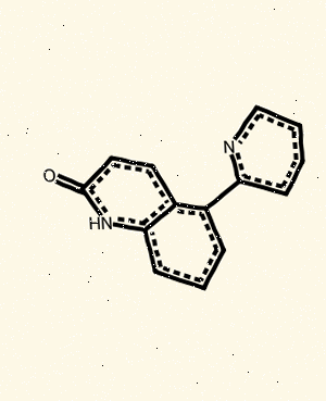 O=c1ccc2c(-c3ccccn3)cccc2[nH]1